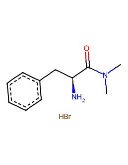 Br.CN(C)C(=O)[C@@H](N)Cc1ccccc1